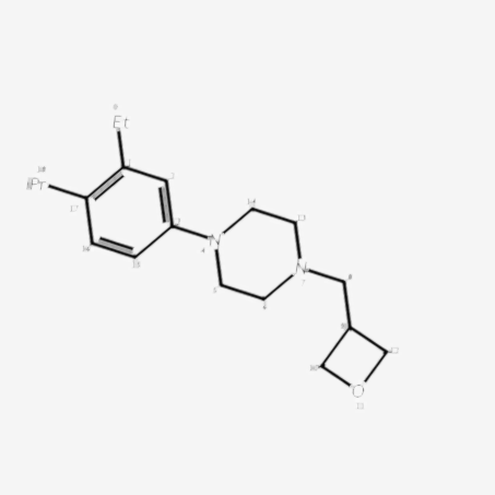 CCc1cc(N2CCN(CC3COC3)CC2)ccc1C(C)C